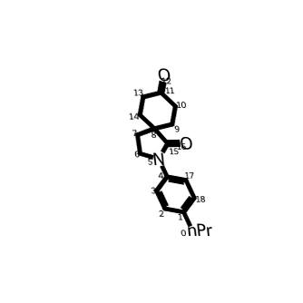 CCCc1ccc(N2CCC3(CCC(=O)CC3)C2=O)cc1